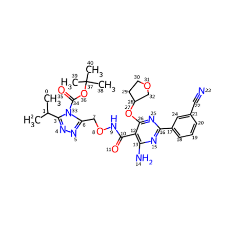 CC(C)c1nnc(CONC(=O)c2c(N)nc(-c3cccc(C#N)c3)nc2OC2CCOC2)n1C(=O)OC(C)(C)C